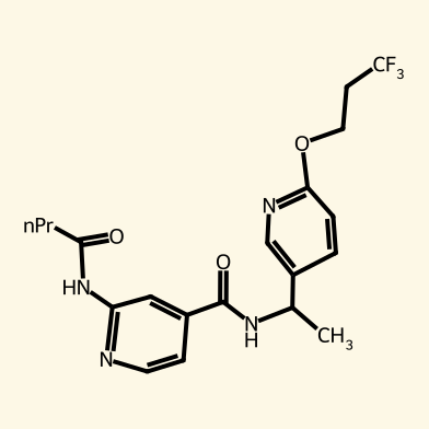 CCCC(=O)Nc1cc(C(=O)NC(C)c2ccc(OCCC(F)(F)F)nc2)ccn1